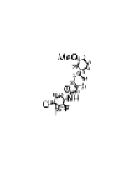 COc1cccc(C2CCC(CC(=O)Nc3ccc(Cl)c(F)c3F)CC2)c1